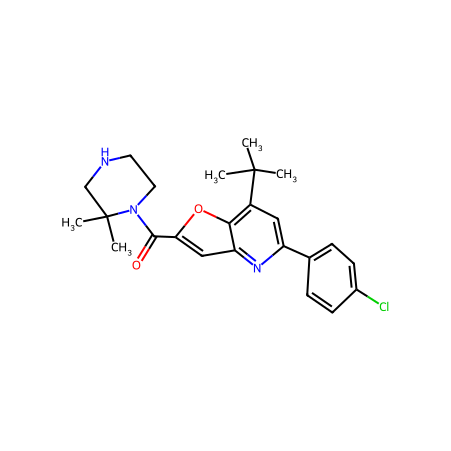 CC(C)(C)c1cc(-c2ccc(Cl)cc2)nc2cc(C(=O)N3CCNCC3(C)C)oc12